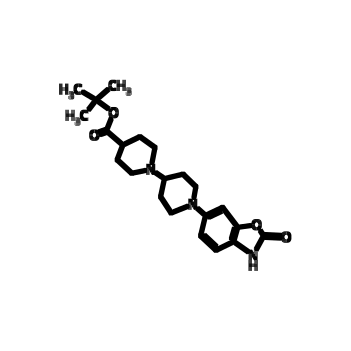 CC(C)(C)OC(=O)C1CCN(C2CCN(c3ccc4[nH]c(=O)oc4c3)CC2)CC1